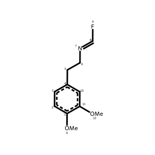 COc1ccc(CCN=CF)cc1OC